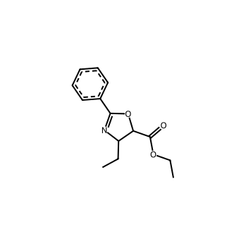 CCOC(=O)C1OC(c2ccccc2)=NC1CC